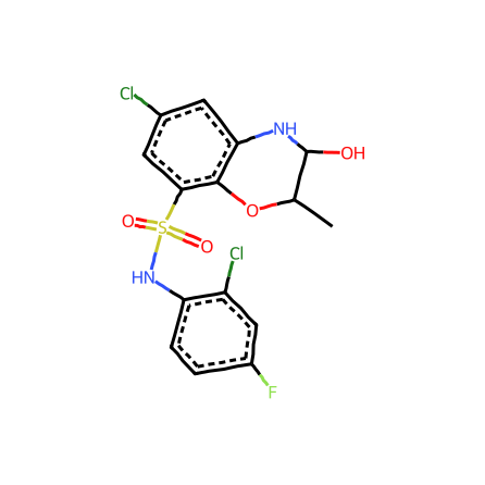 CC1Oc2c(cc(Cl)cc2S(=O)(=O)Nc2ccc(F)cc2Cl)NC1O